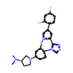 CN(C)[C@@H]1CCN(c2ccc3c(c2)Cn2cc(-c4ccc(F)cc4F)cc2-c2nncn2-3)C1